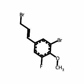 COc1c(F)cc(C=CCBr)cc1Br